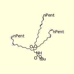 CCCCCC=CCC=CCCCCCCCCOC(=O)C(CCCCCCCC/C=C\C/C=C\CCCCC)(CCCCCCCC/C=C\C/C=C\CCCCC)CNC(=O)OC(C)(C)C